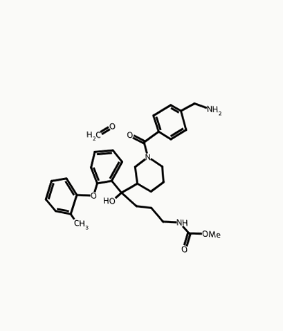 C=O.COC(=O)NCCCC(O)(c1ccccc1Oc1ccccc1C)C1CCCN(C(=O)c2ccc(CN)cc2)C1